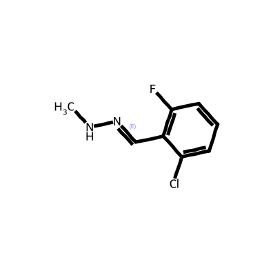 CN/N=C/c1c(F)cccc1Cl